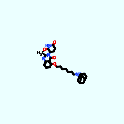 Cc1nc2cccc(OCCCCCCCNC34CC5CC(CC(C5)C3)C4)c2c(=O)n1C1CCC(=O)NC1=O